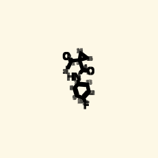 O=C(I)C1(C(=O)Nc2ccc(F)cc2)CC1